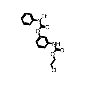 CCN(C(=O)Oc1cccc(NC(=O)OCCCl)c1)c1ccccc1